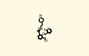 CCOc1cccc(C2CC2NCCC2CCNCC2)c1OCc1cccnc1F